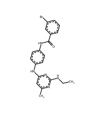 CCNc1nc(C)cc(Nc2ccc(NC(=O)c3cccc(Br)c3)cc2)n1